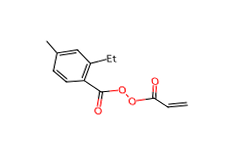 C=CC(=O)OOC(=O)c1ccc(C)cc1CC